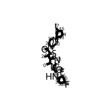 C=C1c2c(sc(C(=O)N3CCN(c4cccc(I)c4)CC3)c2C)N=CN1CC(=O)Nc1ccc(F)cc1F